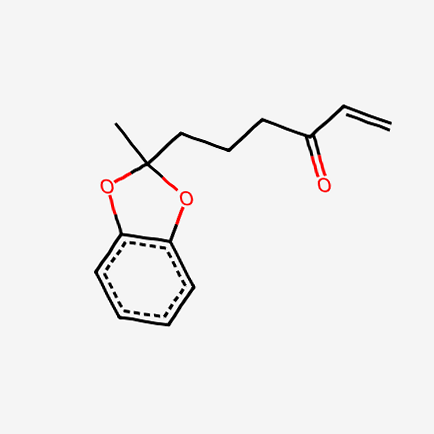 C=CC(=O)CCCC1(C)Oc2ccccc2O1